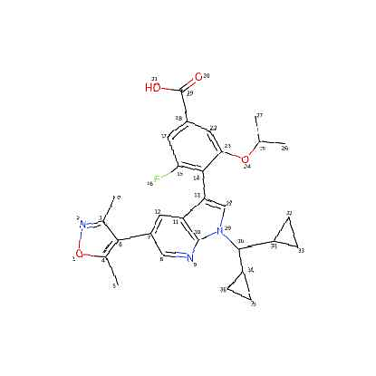 Cc1noc(C)c1-c1cnc2c(c1)c(-c1c(F)cc(C(=O)O)cc1OC(C)C)cn2C(C1CC1)C1CC1